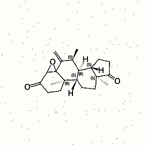 C=C1[C@@H](C)[C@H]2[C@@H]3CCC(=O)[C@@]3(C)CC[C@@H]2[C@@]2(C)CCC(=O)C3OC132